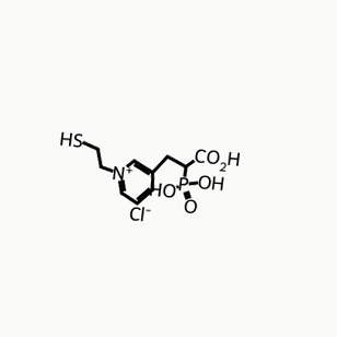 O=C(O)C(Cc1ccc[n+](CCS)c1)P(=O)(O)O.[Cl-]